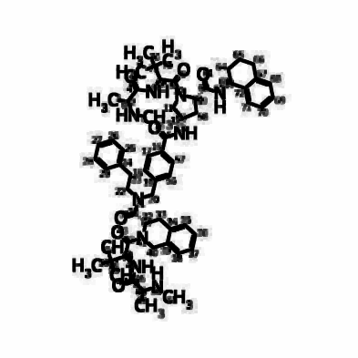 CN[C@@H](C)C(=O)N[C@H](C(=O)N1C[C@@H](NC(=O)c2ccc(CN(CCc3ccccc3)C(=O)[C@@H]3Cc4ccccc4CN3C(=O)[C@@H](NC(=O)[C@H](C)NC)C(C)(C)C)cc2)C[C@H]1C(=O)N[C@@H]1CCCc2ccccc21)C(C)(C)C